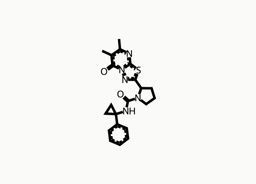 Cc1nc2sc(C3CCCN3C(=O)NC3(c4ccccc4)CC3)nn2c(=O)c1C